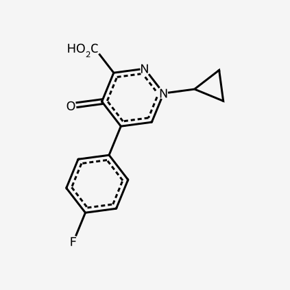 O=C(O)c1nn(C2CC2)cc(-c2ccc(F)cc2)c1=O